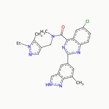 CCn1ncc(CN(C)C(=O)c2nc(-c3cc(C)c4n[nH]cc4c3)nc3ccc(Cl)cc23)c1C